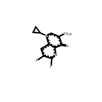 O=C(O)c1cn(C2CC2)c2cc(F)c(F)nc2c1=O